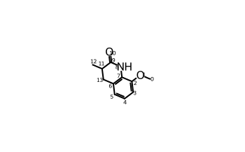 COc1cccc2c1NC(=O)C(C)C2